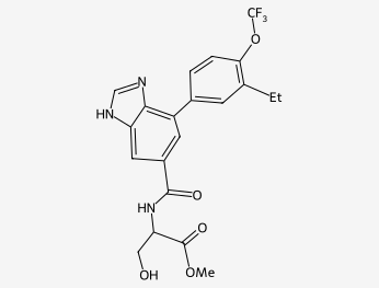 CCc1cc(-c2cc(C(=O)NC(CO)C(=O)OC)cc3[nH]cnc23)ccc1OC(F)(F)F